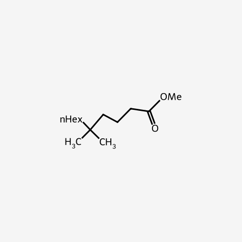 CCCCCCC(C)(C)CCCC(=O)OC